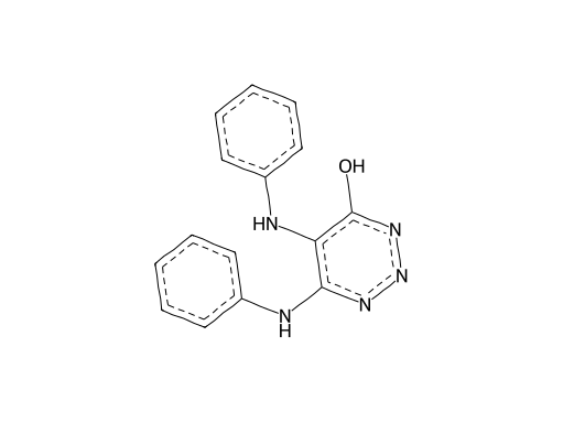 Oc1nnnc(Nc2ccccc2)c1Nc1ccccc1